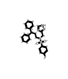 O=S(=O)(c1ccc(F)cc1)N(CCC(c1ccccc1)c1ccccc1)Cc1nc[nH]n1